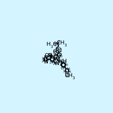 CN(C)CCS(=O)(=O)c1scnc1Cn1c(=O)c(-c2nccn2C)cc2cnc(Nc3ccc(C4CCN(C)C4)cc3)nc21